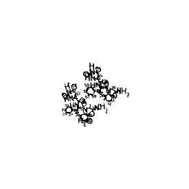 NC(=O)CN1C(=O)[C@H](NC(=O)c2cc(=O)[nH]c(=O)[nH]2)[C@@H](c2ccccc2)Sc2ccccc21.NC(=O)CN1C(=O)[C@H](NC(=O)c2cc(=O)[nH]c(=O)[nH]2)[C@@H](c2ccccc2)Sc2ccccc21.O